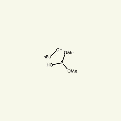 CCCCO.COP(O)OC